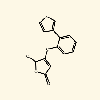 O=C1C=C(Oc2ccccc2-c2ccsc2)C(O)O1